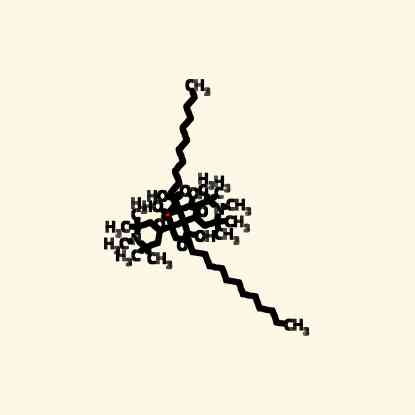 CCCCCCCCCCCCCCC(CCCCCCCCCCCCC)(C1CC(C)(C)N(C)C(C)(C)C1)C(C(=O)O)(C1CC(C)(C)N(C)C(C)(C)C1)C(C(=O)O)(C(=O)O)C(=O)O